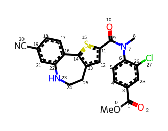 COC(=O)c1ccc(N(C)C(=O)c2cc3c(s2)-c2ccc(C#N)cc2NCC3)c(Cl)c1